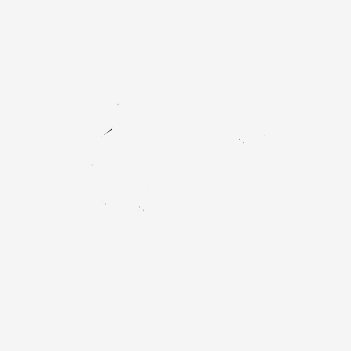 O=C(O)N1CC=C(c2ccc3c(N4CCC[C@H]4CO)nc(Cl)nc3c2)CC1